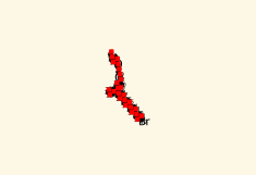 C=Cc1ccc(OCCCCOCc2ccc(N(c3ccccc3)c3ccc(-c4ccc(-c5ccc(-c6ccc(Br)cc6)cc5)cc4)cc3)cc2)cc1